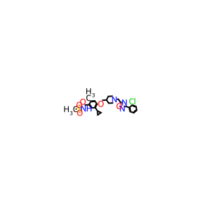 Cc1cc(OCC2CCN(Cc3nc(-c4ccccc4Cl)no3)CC2)c(C2CC2)cc1C(=O)NS(C)(=O)=O